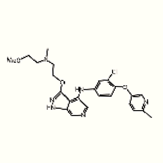 COCCN(C)CCOc1n[nH]c2cncc(Nc3ccc(Oc4ccc(C)nc4)c(Cl)c3)c12